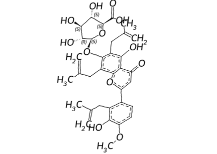 C=C(C)Cc1c(-c2cc(=O)c3c(O)c(CC(=C)C)c(O[C@@H]4O[C@H](C(=O)O)[C@@H](O)[C@H](O)[C@H]4O)c(CC(=C)C)c3o2)ccc(OC)c1O